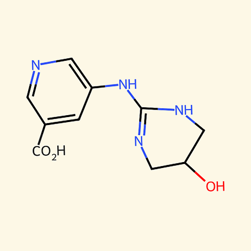 O=C(O)c1cncc(NC2=NCC(O)CN2)c1